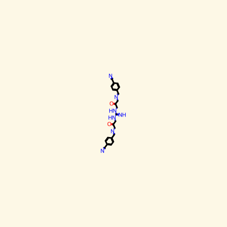 N#Cc1ccc(C=NCC(=O)CNC(=N)NCC(=O)CN=Cc2ccc(C#N)cc2)cc1